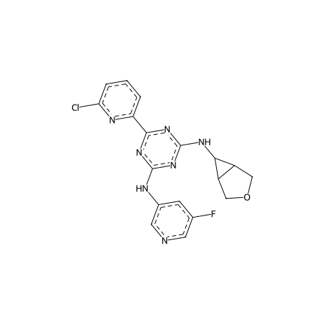 Fc1cncc(Nc2nc(NC3C4COCC43)nc(-c3cccc(Cl)n3)n2)c1